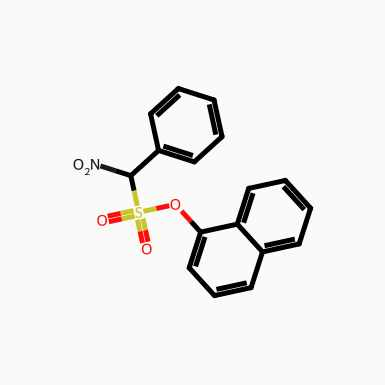 O=[N+]([O-])C(c1ccccc1)S(=O)(=O)Oc1cccc2ccccc12